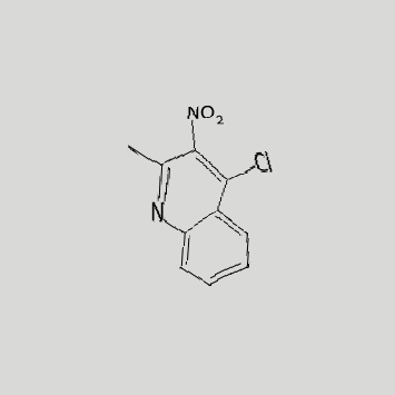 Cc1nc2ccccc2c(Cl)c1[N+](=O)[O-]